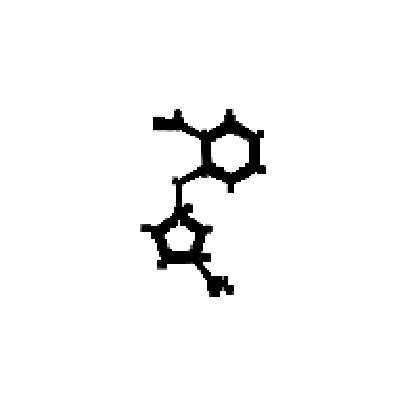 COc1ncccc1Cn1cc(N)cn1